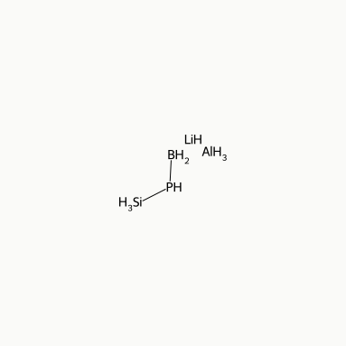 BP[SiH3].[AlH3].[LiH]